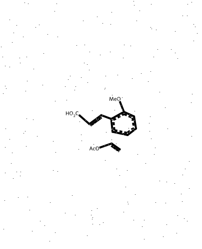 C=COC(C)=O.COc1ccccc1C=CC(=O)O